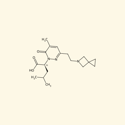 Cc1cc(CCN2CC3(CC3)C2)nn([C@@H](CC(C)C)C(=O)O)c1=O